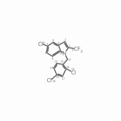 FC(F)(F)c1[c]c2cc(Cl)ccc2n1Cc1ccc(Cl)cc1Cl